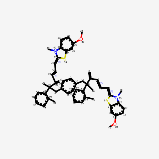 C=C(/C=C/C=C1\Sc2cc(OC)ccc2N1C)C(C)(Cc1ccc(CC(C)(C(=C)/C=C/C=C2\Sc3cc(OC)ccc3N2C)c2ccccc2C)cc1)c1ccccc1C